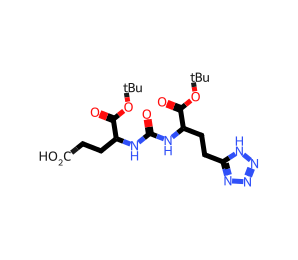 CC(C)(C)OC(=O)C(CCC(=O)O)NC(=O)NC(CCc1nnn[nH]1)C(=O)OC(C)(C)C